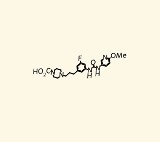 COc1ccc(NC(=O)Nc2cc(F)cc(CCCN3CCN(C(=O)O)CC3)c2)cn1